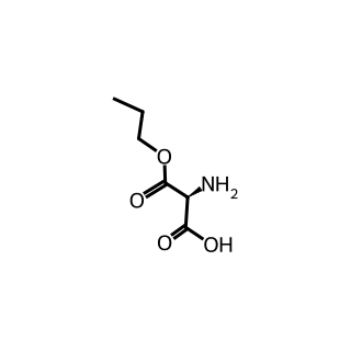 CCCOC(=O)[C@@H](N)C(=O)O